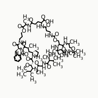 CC[C@H](C)[C@@H]([C@@H](CC(=O)N1CCC[C@H]1[C@H](OC)[C@@H](C)C(=O)N[C@@H](Cc1ccccc1)C(=O)NCCCOC(=O)C(C)NC(=O)CCC(NC(=O)CCNC(=O)OCC(NC(C)(CO)CCN)C(=O)NC(C)COC(C)(C)C)C(=O)O)OC)N(C)C(=O)CNC(=O)C(C(C)C)N(C)C